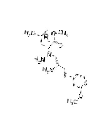 COC(=O)[C@@H](CC(C)C)N(N)/C=C(\N)CSc1cccc(OC)c1